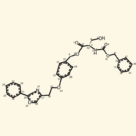 O=C(N[C@@H](CO)C(=O)OCc1ccc(OCCc2coc(-c3ccccc3)n2)cc1)OCc1ccccc1